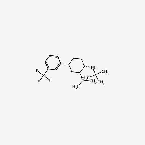 CN(C)[C@H]1C[C@H](c2cccc(C(F)(F)F)c2)CC[C@@H]1NC(C)(C)C